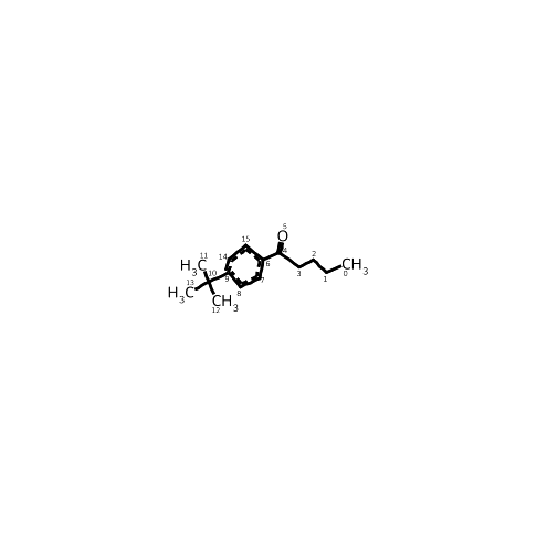 CCCCC(=O)c1ccc(C(C)(C)C)cc1